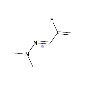 C=C(F)/C=N/N(C)C